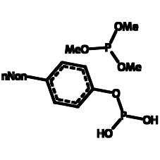 CCCCCCCCCc1ccc(OP(O)O)cc1.COP(OC)OC